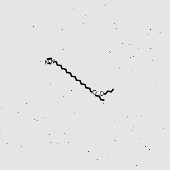 CCCCOC(CC)COCCCCCCCCCCCCCCCCn1ccnc1